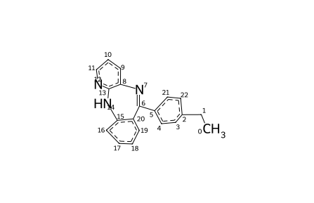 CCc1ccc(C2=Nc3cccnc3Nc3ccccc32)cc1